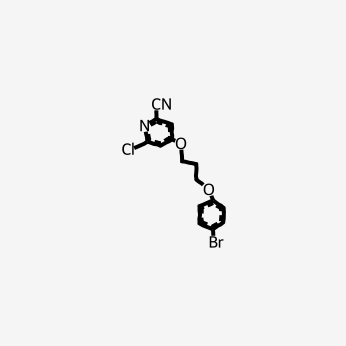 N#Cc1cc(OCCCOc2ccc(Br)cc2)cc(Cl)n1